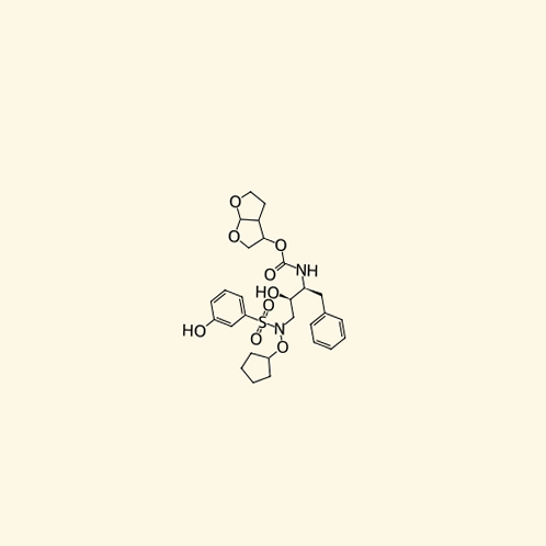 O=C(N[C@@H](Cc1ccccc1)[C@H](O)CN(OC1CCCC1)S(=O)(=O)c1cccc(O)c1)OC1COC2OCCC12